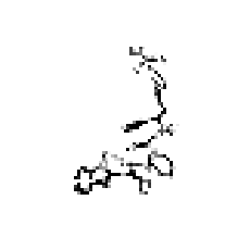 Cn1c(C(=O)N[C@H]2CCCC[C@H]2C(=O)NC(C#N)CCOS(C)(=O)=O)cc2ccccc21